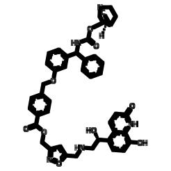 O=C(NC(c1ccccc1)c1cccc(OCc2ccc(C(=O)OCc3cc(CNC[C@@H](O)c4ccc(O)c5[nH]c(=O)ccc45)on3)cc2)c1)O[C@H]1CN2CCC1CC2